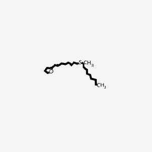 CCCCCCCCC(C)SCCCCCCCCC1CCCO1